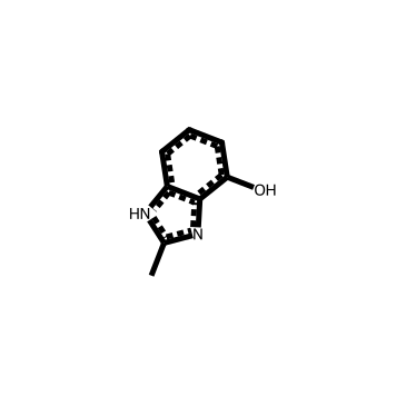 Cc1nc2c(O)cccc2[nH]1